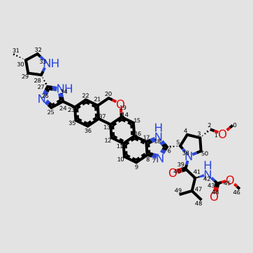 COC[C@H]1C[C@@H](c2nc3ccc4cc5c(cc4c3[nH]2)OCc2cc(-c3cnc([C@@H]4C[C@H](C)CN4)[nH]3)ccc2-5)N(C(=O)[C@@H](NC(=O)OC)C(C)C)C1